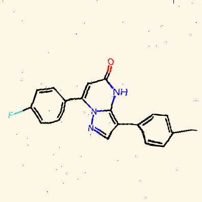 Cc1ccc(-c2cnn3c(-c4ccc(F)cc4)cc(=O)[nH]c23)cc1